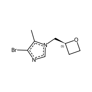 Cc1c(Br)ncn1C[C@@H]1CCO1